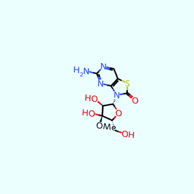 CO[C@]1(O)[C@@H](CO)O[C@@H](n2c(=O)sc3cnc(N)nc32)[C@@H]1O